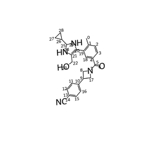 Cc1ccc(C(=O)N2CC(c3ccc(C#N)cc3)C2)cc1C1=C(CO)NC(C2CC2)N1